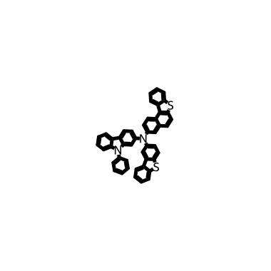 c1ccc(-n2c3ccccc3c3ccc(N(c4ccc5c(ccc6sc7ccccc7c65)c4)c4ccc5sc6ccccc6c5c4)cc32)cc1